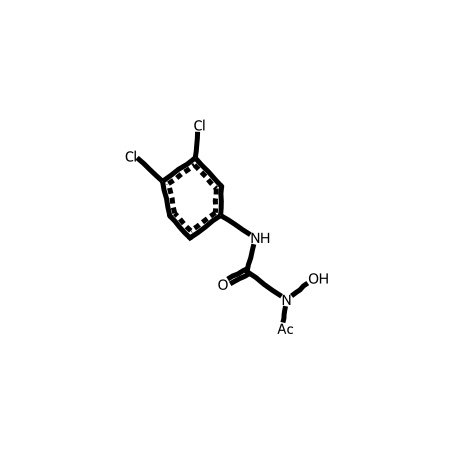 CC(=O)N(O)C(=O)Nc1ccc(Cl)c(Cl)c1